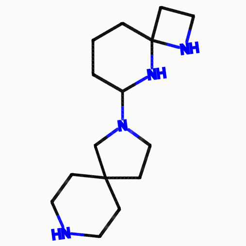 C1CC(N2CCC3(CCNCC3)C2)NC2(C1)CCN2